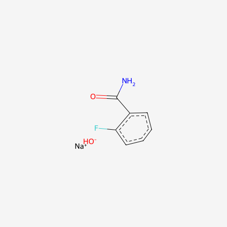 NC(=O)c1ccccc1F.[Na+].[OH-]